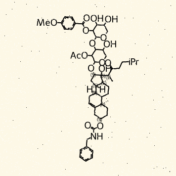 COc1ccc(C(=O)OC2C(OC3C(O)COC(O[C@H]4C[C@H]5[C@@H]6CC=C7C[C@@H](OC(=O)NCc8ccccc8)CC[C@]7(C)C6CC[C@]5(C)[C@@]4(O)[C@H](C)C(=O)CCC(C)C)C3OC(C)=O)OCC(O)C2O)cc1